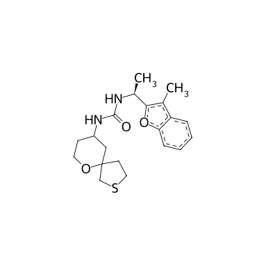 Cc1c([C@H](C)NC(=O)NC2CCOC3(CCSC3)C2)oc2ccccc12